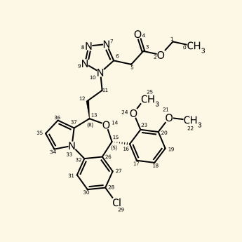 CCOC(=O)Cc1nnnn1CC[C@H]1O[C@H](c2cccc(OC)c2OC)c2cc(Cl)ccc2-n2cccc21